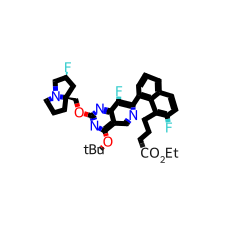 CCOC(=O)CCCc1c(F)ccc2cccc(-c3ncc4c(OC(C)(C)C)nc(OC[C@@]56CCCN5C[C@H](F)C6)nc4c3F)c12